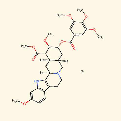 COC(=O)[C@H]1[C@H]2C[C@@H]3c4[nH]c5cc(OC)ccc5c4CCN3C[C@H]2C[C@@H](OC(=O)c2cc(OC)c(OC)c(OC)c2)[C@@H]1OC.[Ni]